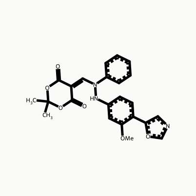 COc1cc(NN(C=C2C(=O)OC(C)(C)OC2=O)c2ccccc2)ccc1-c1cnco1